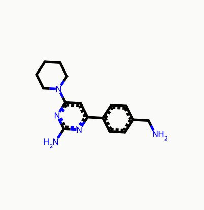 NCc1ccc(-c2cc(N3CCCCC3)nc(N)n2)cc1